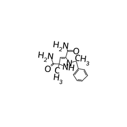 CC(c1ccccc1)N1NC(C)(C(N)=O)C=C1C(N)=O